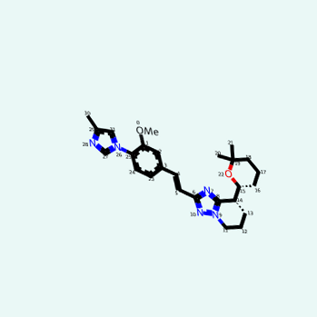 COc1cc(/C=C/c2nc3n(n2)CCC[C@H]3[C@H]2CCCC(C)(C)O2)ccc1-n1cnc(C)c1